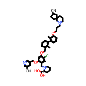 Cc1c(COc2cc(OCc3cncc(C#N)c3)c(CN3CCCC[C@H]3C(O)O)cc2Cl)cccc1-c1cccc(OCCCN2CCCC3(CCC(C#N)C3)C2)c1C